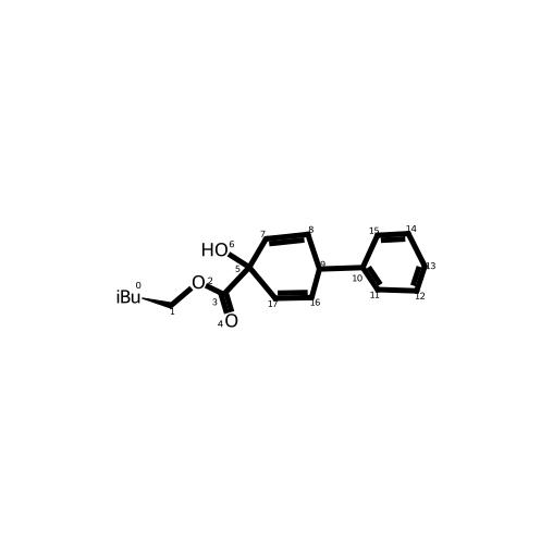 CC[C@H](C)COC(=O)C1(O)C=CC(c2ccccc2)C=C1